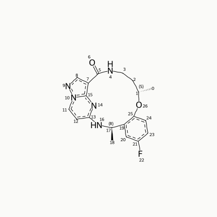 C[C@H]1CCNC(=O)c2cnn3ccc(nc23)N[C@H](C)c2cc(F)ccc2O1